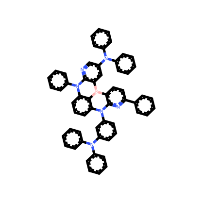 c1ccc(-c2ccc3c(n2)N(c2cccc(N(c4ccccc4)c4ccccc4)c2)c2cccc4c2B3c2cc(N(c3ccccc3)c3ccccc3)cnc2N4c2ccccc2)cc1